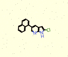 Clc1cc2cc(-c3cccc4ccccc34)cnc2[nH]1